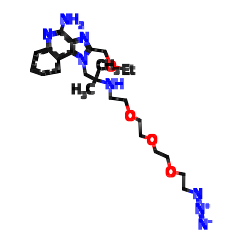 CCOCc1nc2c(N)nc3ccccc3c2n1CC(C)(C)NCCOCCOCCOCCN=[N+]=[N-]